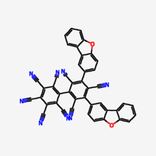 N#Cc1c(C#N)c(C#N)c(-c2c(C#N)c(-c3ccc4oc5ccccc5c4c3)c(C#N)c(-c3ccc4oc5ccccc5c4c3)c2C#N)c(C#N)c1C#N